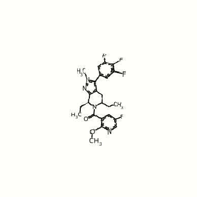 CCC1Cc2c(nn(C)c2-c2cc(F)c(F)c(F)c2)[C@H](CC)N1C(=O)c1cc(F)cnc1OC